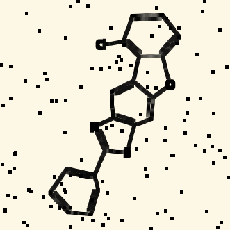 Clc1cccc2oc3cc4sc(-c5ccccc5)nc4cc3c12